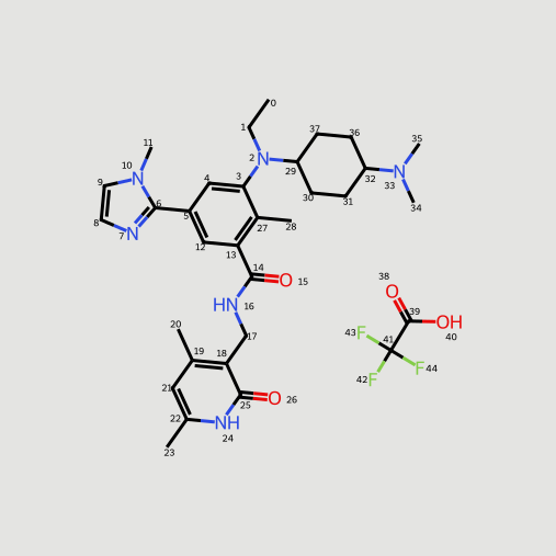 CCN(c1cc(-c2nccn2C)cc(C(=O)NCc2c(C)cc(C)[nH]c2=O)c1C)C1CCC(N(C)C)CC1.O=C(O)C(F)(F)F